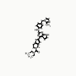 CCN(CC)C(=O)N1CCc2sc(-c3nc(Nc4ccc(Cn5ccnc5C)cc4)nc4[nH]ccc34)cc2C1